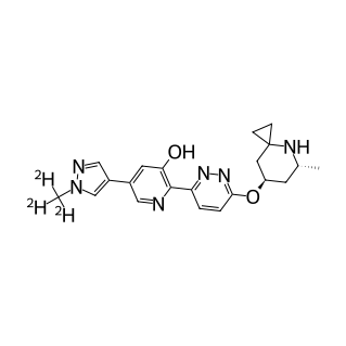 [2H]C([2H])([2H])n1cc(-c2cnc(-c3ccc(O[C@@H]4C[C@@H](C)NC5(CC5)C4)nn3)c(O)c2)cn1